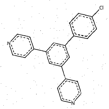 Clc1ccc(-c2cc(-c3ccncc3)cc(-c3ccncc3)c2)cc1